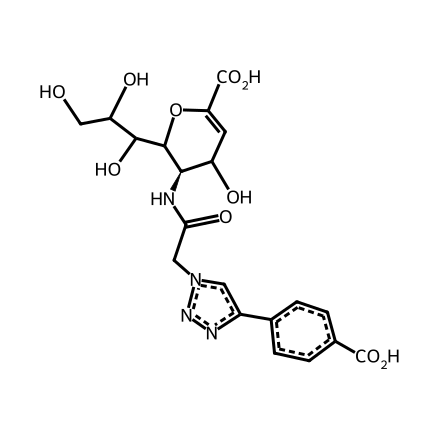 O=C(Cn1cc(-c2ccc(C(=O)O)cc2)nn1)N[C@@H]1C(O)C=C(C(=O)O)OC1C(O)C(O)CO